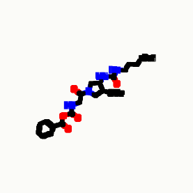 CCCCCCCCCCCCCNC(=O)N[C@H]1CN(C(=O)CNC(=O)OC(=O)c2ccccc2)C[C@@H]1OC